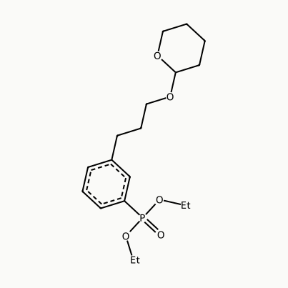 CCOP(=O)(OCC)c1cccc(CCCOC2CCCCO2)c1